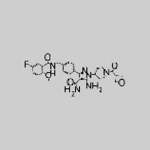 COc1ccc(F)cc1C(=O)NCc1ccc(-c2nn(C3CCN(C(=O)C4COC4)CC3)c(N)c2C(N)=O)cc1